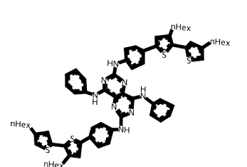 CCCCCCc1csc(-c2sc(-c3ccc(Nc4nc(Nc5ccccc5)c5nc(Nc6ccc(-c7cc(CCCCCC)c(-c8cc(CCCCCC)cs8)s7)cc6)nc(Nc6ccccc6)c5n4)cc3)cc2CCCCCC)c1